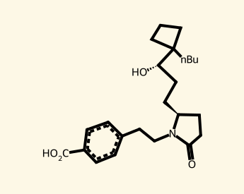 CCCCC1([C@@H](O)CC[C@H]2CCC(=O)N2CCc2ccc(C(=O)O)cc2)CCC1